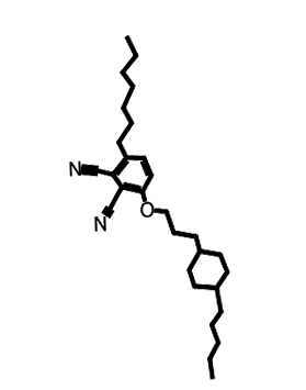 CCCCCCCc1ccc(OCCCC2CCC(CCCCC)CC2)c(C#N)c1C#N